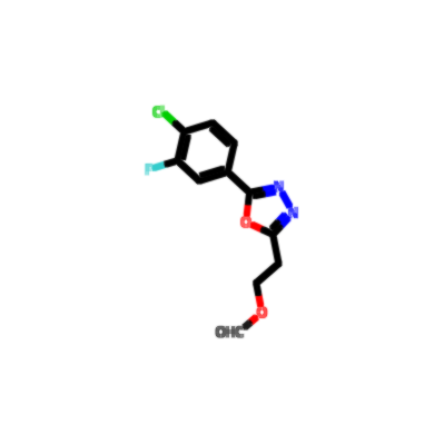 O=COCCc1nnc(-c2ccc(Cl)c(F)c2)o1